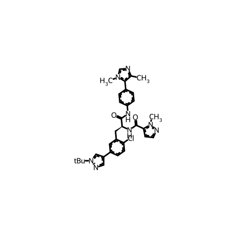 Cc1ncn(C)c1-c1ccc(NC(=O)[C@H](Cc2cc(-c3cnn(C(C)(C)C)c3)ccc2Cl)NC(=O)c2ccnn2C)cc1